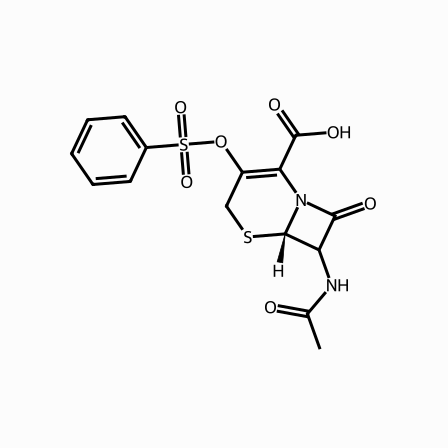 CC(=O)NC1C(=O)N2C(C(=O)O)=C(OS(=O)(=O)c3ccccc3)CS[C@@H]12